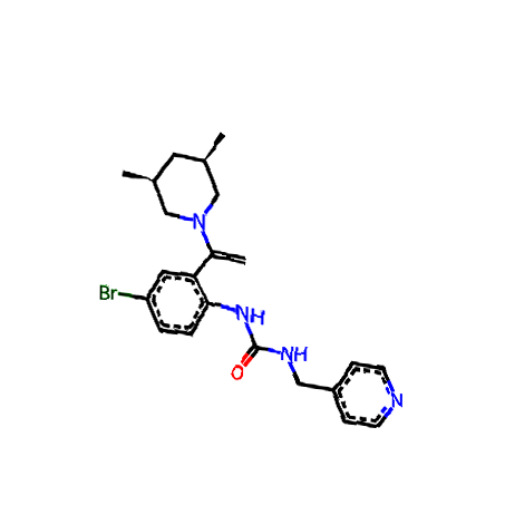 C=C(c1cc(Br)ccc1NC(=O)NCc1ccncc1)N1C[C@H](C)C[C@H](C)C1